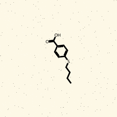 CCCCSc1ccc(C(=O)O)cc1